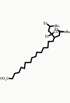 CCCCC(CC)CC(CCCCCCCCCCCCCCCC(=O)O)C(CC)(CC(CC)CCCC)C(=O)O